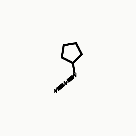 [N-]=[N+]=NC1CCCC1